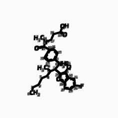 CCCCCC(C)C(Nc1ccc(C(=O)N(C)CCC(=O)O)cc1)c1oc2ccc(F)cc2c1OC